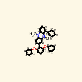 CN1c2ccc(-c3c(Oc4ccccc4)cccc3Oc3ccccc3)cc2N(C)c2c(-c3ccccc3)cccc21